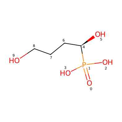 O=P(O)(O)[C@H](O)CCCO